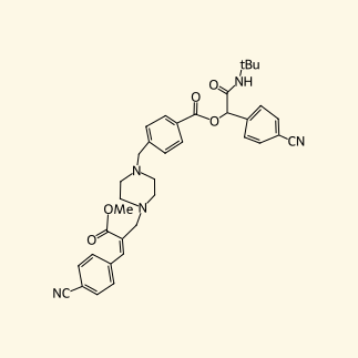 COC(=O)/C(=C\c1ccc(C#N)cc1)CN1CCN(Cc2ccc(C(=O)OC(C(=O)NC(C)(C)C)c3ccc(C#N)cc3)cc2)CC1